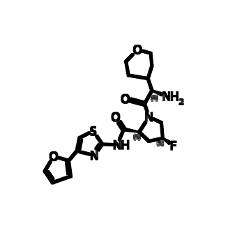 N[C@@H](C(=O)N1C[C@@H](F)C[C@H]1C(=O)Nc1nc(-c2ccco2)cs1)C1CCOCC1